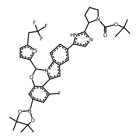 CC(C)(C)OC(=O)N1CCCC1c1ncc(-c2ccc3c(c2)cc2n3C(c3ccc(CC(F)(F)F)s3)Oc3cc(B4OC(C)(C)C(C)(C)O4)cc(F)c3-2)[nH]1